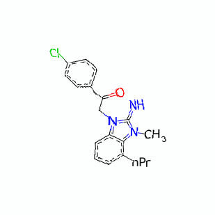 CCCc1cccc2c1n(C)c(=N)n2CC(=O)c1ccc(Cl)cc1